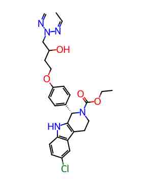 C=NN(CC(O)CCOc1ccc([C@H]2c3[nH]c4ccc(Cl)cc4c3CCN2C(=O)OCC)cc1)/N=C\C